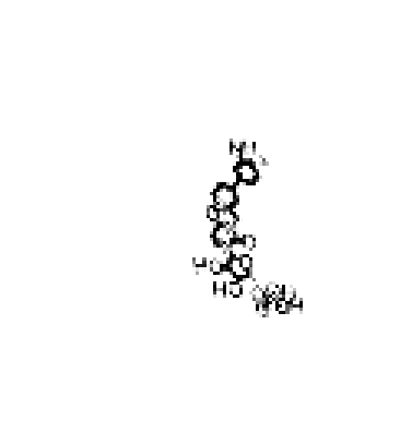 Nc1cccc(-c2ccnc(Cn3c(=O)ccn([C@@H]4O[C@H](COP(=O)(O)O)[C@H](O)C4O)c3=O)c2)c1